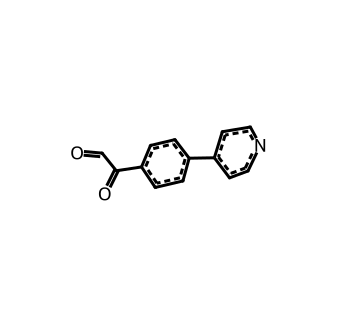 O=CC(=O)c1ccc(-c2ccncc2)cc1